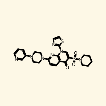 O=c1c(S(=O)(=O)N2CCCCC2)cn(-c2nccs2)c2nc(N3CCN(c4cccnc4)CC3)ccc12